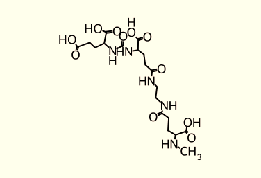 CNC(CCC(=O)NCCNC(=O)CCC(NC(=O)NC(CCC(=O)O)C(=O)O)C(=O)O)C(=O)O